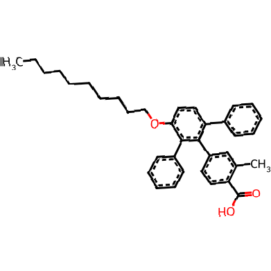 CCCCCCCCCCOc1ccc(-c2ccccc2)c(-c2ccc(C(=O)O)c(C)c2)c1-c1ccccc1